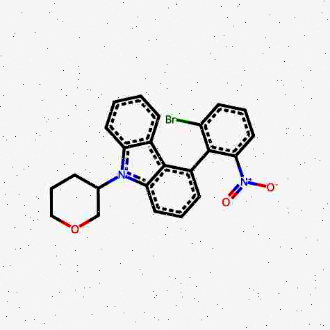 O=[N+]([O-])c1cccc(Br)c1-c1cccc2c1c1ccccc1n2C1CCCOC1